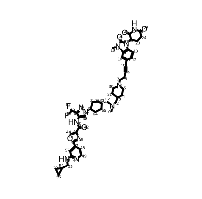 CN(CC1CCN(CCC#Cc2ccc3c(c2)n(C)c(=O)n3C2CCC(=O)NC2=O)CC1)C[C@H]1CC[C@H](n2cc(NC(=O)c3coc(-c4ccnc(NCC5CC5)c4)n3)c(C(F)F)n2)CC1